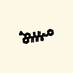 O=C(NNC(=S)Nc1ccc(C2CC2)c2ccccc12)OCc1ccccc1